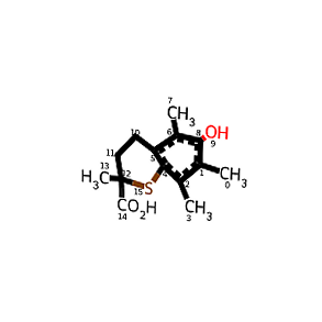 Cc1c(C)c2c(c(C)c1O)CCC(C)(C(=O)O)S2